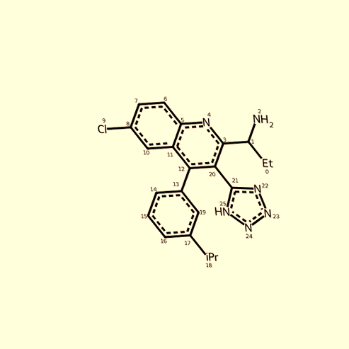 CCC(N)c1nc2ccc(Cl)cc2c(-c2cccc(C(C)C)c2)c1-c1nnn[nH]1